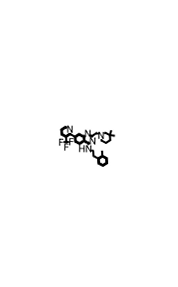 Cc1ccccc1CCNc1nc(CN2CCCC(C)(C)C2)nc2cc(-c3ncccc3C(F)(F)F)ccc12